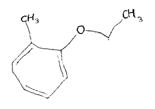 C[CH]Oc1ccccc1C